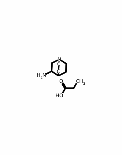 CCC(=O)O.NC1CN2CCC1CC2